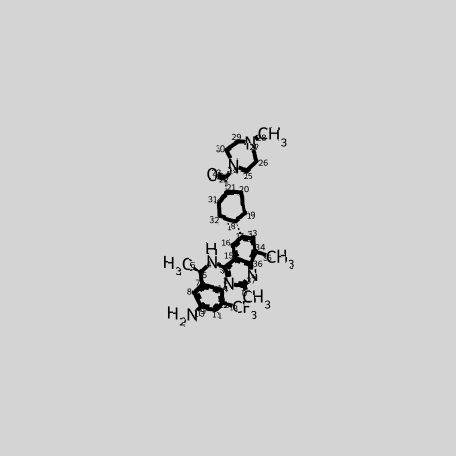 Cc1nc(N[C@H](C)c2cc(N)cc(C(F)(F)F)c2)c2cc([C@H]3CC[C@@H](C(=O)N4CCN(C)CC4)CC3)cc(C)c2n1